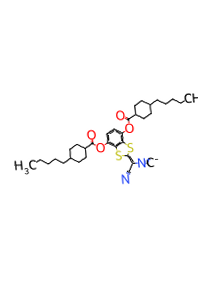 [C-]#[N+]C(C#N)=C1Sc2c(OC(=O)C3CCC(CCCCC)CC3)ccc(OC(=O)C3CCC(CCCCC)CC3)c2S1